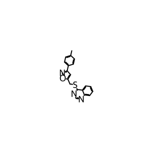 Cc1ccc(-c2cc(CSc3ncnc4ccccc34)on2)cc1